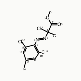 COC(=O)C(Cl)(Cl)N=Nc1c(Cl)cc(C)cc1Cl